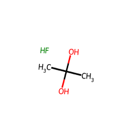 CC(C)(O)O.F